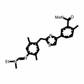 CCN(C)C=Nc1cc(C)c(Cc2nc(-c3ccc(C)c(C(=O)NC)c3)cs2)cc1C